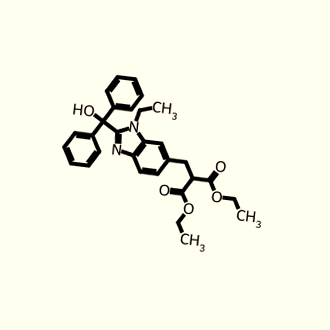 CCOC(=O)C(Cc1ccc2nc(C(O)(c3ccccc3)c3ccccc3)n(CC)c2c1)C(=O)OCC